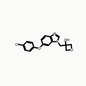 OC1(Cn2cnc3ccc(Oc4ccc(Cl)cc4)cc32)COC1